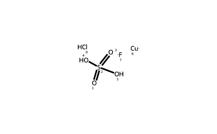 Cl.O=S(=O)(O)O.[Cu].[F]